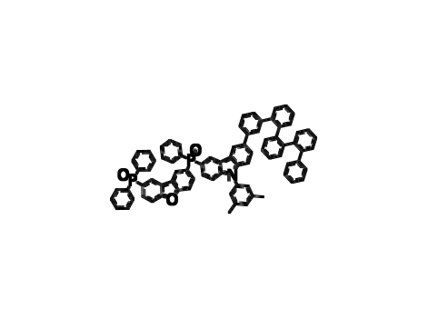 Cc1cc(C)cc(-n2c3ccc(-c4cccc(-c5ccccc5-c5ccccc5-c5ccccc5-c5ccccc5)c4)cc3c3cc(P(=O)(c4ccccc4)c4ccc5oc6ccc(P(=O)(c7ccccc7)c7ccccc7)cc6c5c4)ccc32)c1